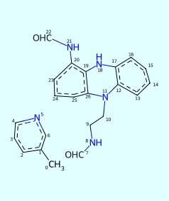 Cc1cccnc1.O=CNCCN1c2ccccc2Nc2c(NC=O)cccc21